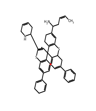 C/C=C\CC(N)C1=CC2=C(CC1)C1(C3=CC=C(c4ccccc4)CC3S2)C2=C(CC(C3CC=CCN3)C=C2)Sc2cc(C3=CCCC=C3)ccc21